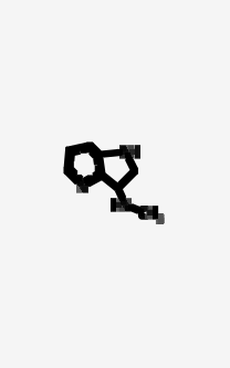 CNC1CNc2cccnc21